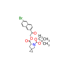 CC(C)(C)OC(=O)N1CC2(CC2)C[C@H]1C(=O)OCC(=O)c1ccc2cc(Br)ccc2c1